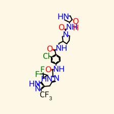 O=C(Nc1ccc(C(=O)NCC2CCCN(C(=O)N[C@H]3CNC[C@@H]3O)C2)c(Cl)c1)c1ncc(Cc2c(C(F)(F)F)n[nH]c2[C@H]2CC2(F)F)[nH]1